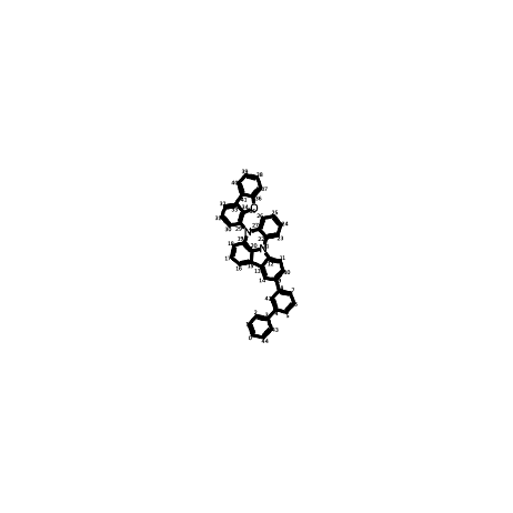 c1ccc(-c2cccc(-c3ccc4c(c3)c3cccc5c3n4-c3ccccc3N5c3cccc4c3oc3ccccc34)c2)cc1